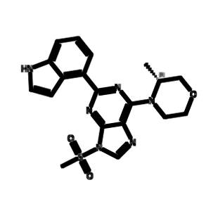 C[C@@H]1COCCN1c1nc(-c2cccc3[nH]ccc23)nc2c1ncn2S(C)(=O)=O